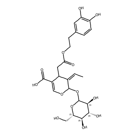 CC=C1C(OC2O[C@@H](CO)[C@H](O)[C@@H](O)[C@@H]2O)OC=C(C(=O)O)C1CC(=O)OCCc1ccc(O)c(O)c1